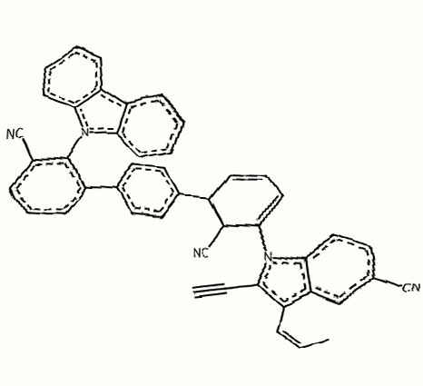 C#Cc1c(/C=C\C)c2cc(C#N)ccc2n1C1=CC=CC(c2ccc(-c3cccc(C#N)c3-n3c4ccccc4c4ccccc43)cc2)C1C#N